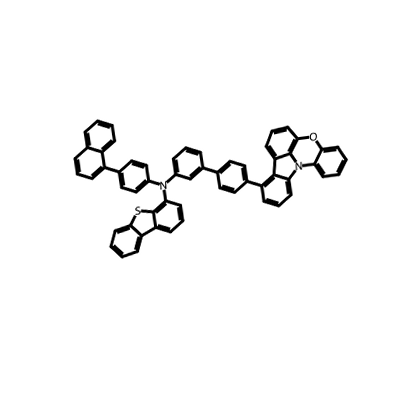 c1cc(-c2ccc(-c3cccc4c3c3cccc5c3n4-c3ccccc3O5)cc2)cc(N(c2ccc(-c3cccc4ccccc34)cc2)c2cccc3c2sc2ccccc23)c1